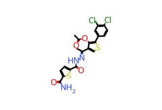 CC(=O)Oc1c(C(C)=NNC(=O)c2ccc(C(N)=O)s2)csc1-c1ccc(Cl)c(Cl)c1